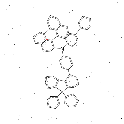 c1ccc(-c2ccc(N(c3ccc(-c4cccc5c4-c4ccccc4C5(c4ccccc4)c4ccccc4)cc3)c3ccccc3-c3cccc4cccc(-c5ccccc5)c34)cc2)cc1